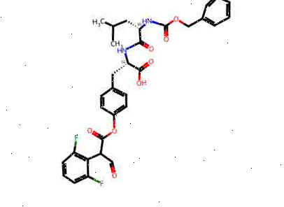 CC(C)C[C@H](NC(=O)OCc1ccccc1)C(=O)N[C@@H](Cc1ccc(OC(=O)C(C=O)c2c(F)cccc2F)cc1)C(=O)O